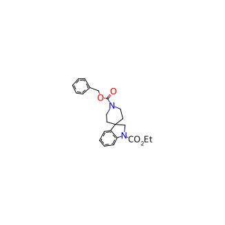 CCOC(=O)N1CC2(CCN(C(=O)OCc3ccccc3)CC2)c2ccccc21